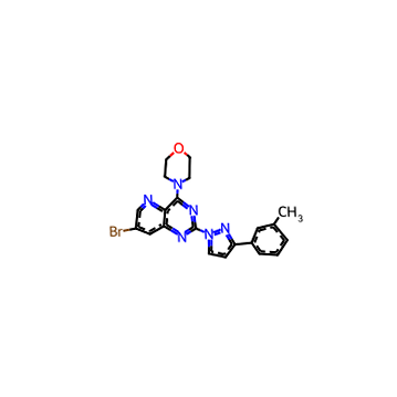 Cc1cccc(-c2ccn(-c3nc(N4CCOCC4)c4ncc(Br)cc4n3)n2)c1